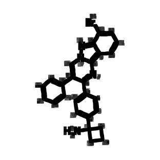 NC1(c2ccc(-c3nc4c5cccc(Br)c5nn4cc3-c3ccccc3)cc2)CCC1